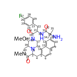 CNC(=O)C(Cc1ccc2ccccc2c1)N1CCN(C(=O)C(Cc2ccc(F)cc2)NC(=O)C(C)(C)N)C(OC)C1C